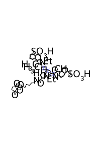 CCN1/C(=C/C=C(/C=C/C2=[N+](CC)c3ccc4c(S(=O)(=O)O)cccc4c3C2(C)C)c2ccc(C(=O)NCCCCCC(=O)OC3C(=O)CCC3=O)cn2)C(C)(C)c2c1ccc1c(S(=O)(=O)O)cccc21